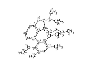 CCCCP1c2c(cccc2-c2c(OC)c(C)cc(C)c2OC)O[C@@H]1C(C)C